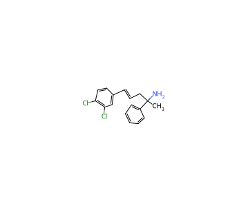 CC(N)(CC=Cc1ccc(Cl)c(Cl)c1)c1ccccc1